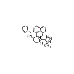 Cn1nnnc1[C@@H]1C[C@@]2(c3ccccc3)[C@H](NCc3ccccc3)CC[C@@H]1N2Cc1ccccc1